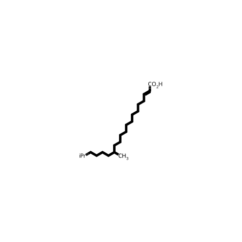 CC(C)CCCCC(C)CCCCCCCCCCC=CC(=O)O